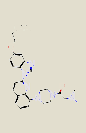 COCCOc1ccc2c(c1)ncn2-c1ccc2cccc(N3CCN(C(=O)CN(C)C)CC3)c2n1